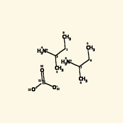 CCC(C)[NH3+].CCC(C)[NH3+].[O]=[Ti]([O-])[O-]